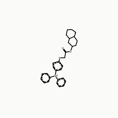 O=C(COc1ccc([SH](c2ccccc2)c2ccccc2)cc1)OC1CCC2CCCCC2C1